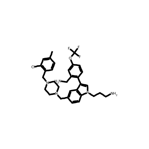 Cc1ccc(CN2CCN(Cc3ccc4c(c3)c(-c3ccc(OC(F)(F)F)cc3CN)cn4CCCN)CC2)c(Cl)c1